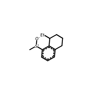 CCC1CCCc2cccc([S+](C)[O-])c21